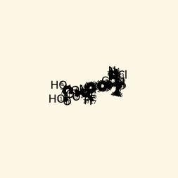 O=C(O[C@H]1C[C@@H](O)C[C@@H](C(=O)O)O1)c1cc(C(F)(F)F)c2cc(N3CCC4(C=C(c5c(-c6c(Cl)cncc6Cl)noc5C5CC5)C4)CC3)ccc2n1